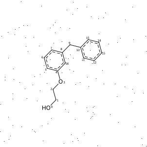 OCCOc1cccc(Cc2ccccc2)c1